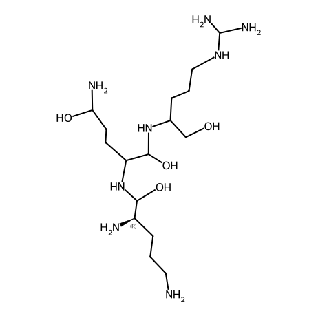 NCCC[C@@H](N)C(O)NC(CCC(N)O)C(O)NC(CO)CCCNC(N)N